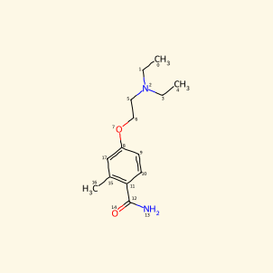 CCN(CC)CCOc1ccc(C(N)=O)c(C)c1